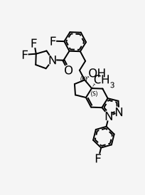 C[C@]12Cc3cnn(-c4ccc(F)cc4)c3C=C1CC[C@@]2(O)CCc1cccc(F)c1C(=O)N1CCC(F)(F)C1